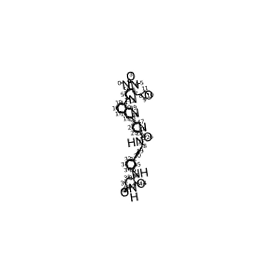 Cn1c(=O)n(C)c2c(C3COC3)nc(-c3cccc4cc(-c5ccc(C(=O)NCC#Cc6cccc(NC7CCC(=O)NC7=O)c6)nc5)ncc34)cc21